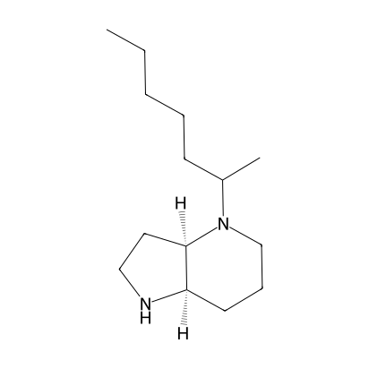 CCCCCC(C)N1CCC[C@H]2NCC[C@H]21